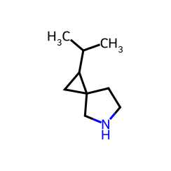 CC(C)C1CC12CCNC2